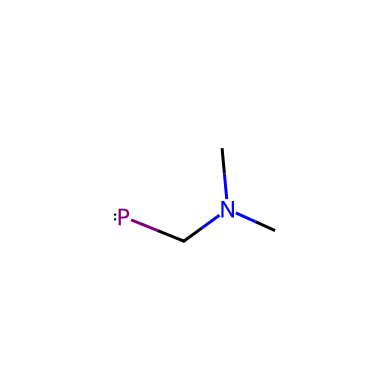 CN(C)C[P]